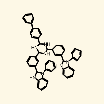 C1=CC(C2Nc3ccccc3N2c2ccccc2)=CC(C2NC(c3ccc(-c4ccccc4)cc3)NC(c3cccc(C4Nc5ccccc5N4c4ccccc4)c3)N2)C1